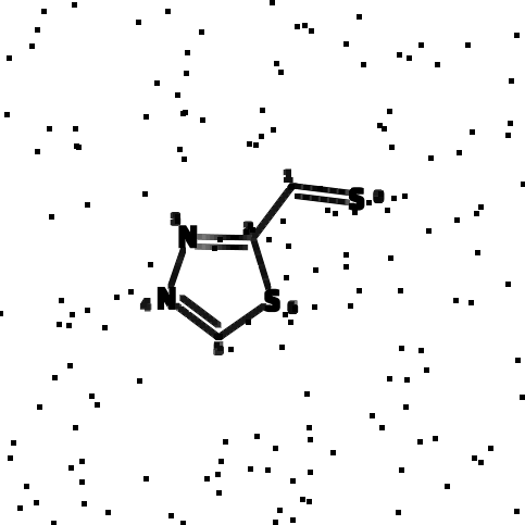 S=Cc1nncs1